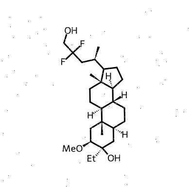 CC[C@@]1(O)C[C@@H]2CC[C@@H]3[C@H](CC[C@]4(C)C([C@H](C)CC(F)(F)CO)CC[C@@H]34)[C@@]2(C)C[C@@H]1OC